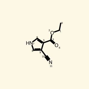 CCOC(=O)c1c[nH]cc1C#N